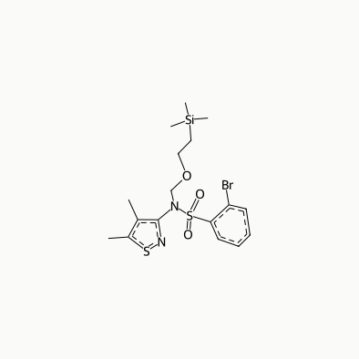 Cc1snc(N(COCC[Si](C)(C)C)S(=O)(=O)c2ccccc2Br)c1C